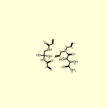 C=CC(=O)NCC(O)(O)NC(=O)C=C.C=CCN(CC=C)C(=O)C(O)C(O)C(N)=O